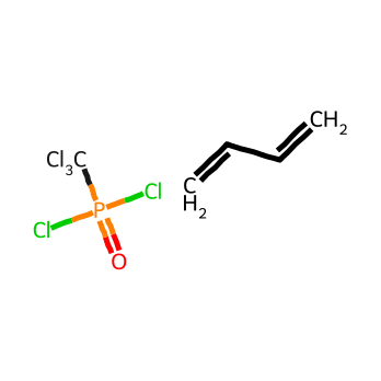 C=CC=C.O=P(Cl)(Cl)C(Cl)(Cl)Cl